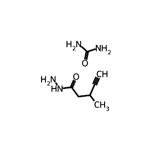 C#CC(C)CC(=O)NN.NC(N)=O